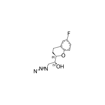 [N-]=[N+]=NC[C@H](O)[C@H]1CCc2cc(F)ccc2O1